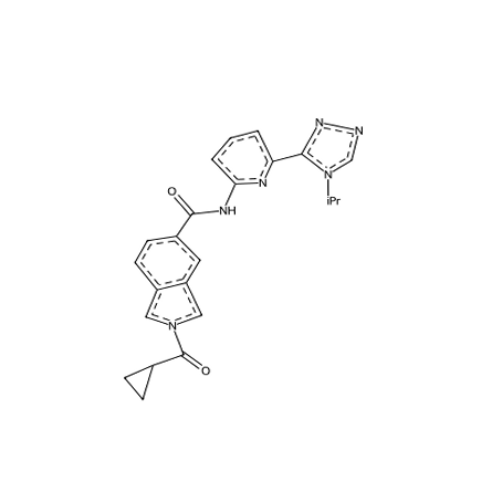 CC(C)n1cnnc1-c1cccc(NC(=O)c2ccc3cn(C(=O)C4CC4)cc3c2)n1